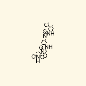 Cc1ccc(NC(=O)N(C)Cc2cccc(NC3=CC(=O)N(C4CCC(=O)NC4=O)C3=O)c2)cc1Cl